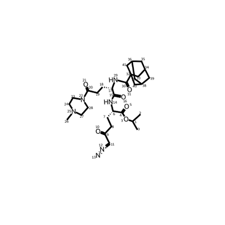 CC(C)OC(=O)[C@H](CCC(=O)C=[N+]=[N-])NC(=O)[C@H](CCC(=O)N1CCN(C)CC1)NC(=O)C12CC3CC(CC(C3)C1)C2